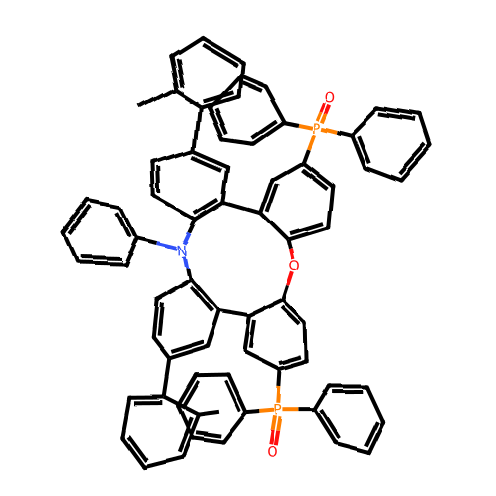 Cc1ccccc1-c1ccc2c(c1)-c1cc(P(=O)(c3ccccc3)c3ccccc3)ccc1Oc1ccc(P(=O)(c3ccccc3)c3ccccc3)cc1-c1cc(-c3ccccc3C)ccc1N2c1ccccc1